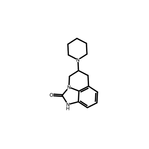 O=c1[nH]c2cccc3c2n1CC(N1CCCCC1)C3